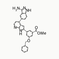 COC(=O)c1cc(OCc2ccccc2)cc(-c2cc3c(-c4ccc5[nH]nc(N)c5c4)ccnc3[nH]2)c1